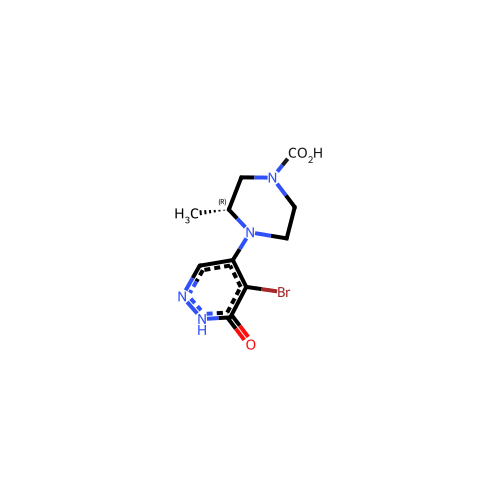 C[C@@H]1CN(C(=O)O)CCN1c1cn[nH]c(=O)c1Br